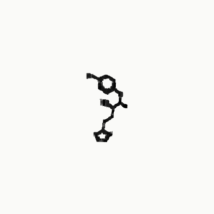 C[C@H](Oc1ccc(Br)cc1)C(O)CCc1nccs1